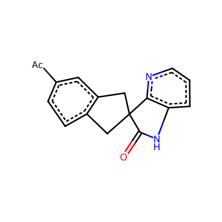 CC(=O)c1ccc2c(c1)CC1(C2)C(=O)Nc2cccnc21